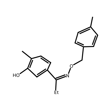 CCC(=NOCc1ccc(C)cc1)c1ccc(C)c(O)c1